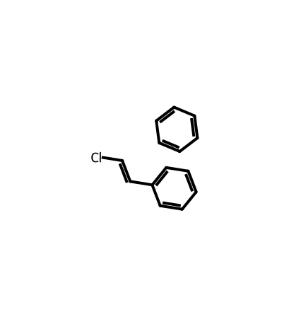 ClC=Cc1ccccc1.c1ccccc1